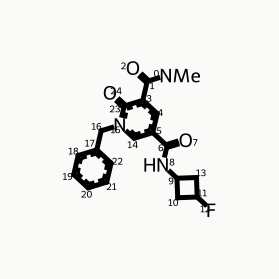 CNC(=O)c1cc(C(=O)NC2CC(F)C2)cn(Cc2ccccc2)c1=O